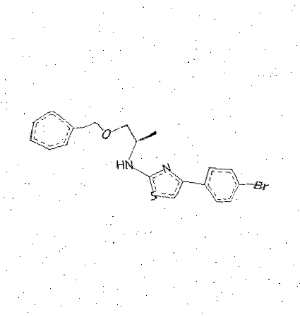 C[C@H](COCc1ccccc1)Nc1nc(-c2ccc(Br)cc2)cs1